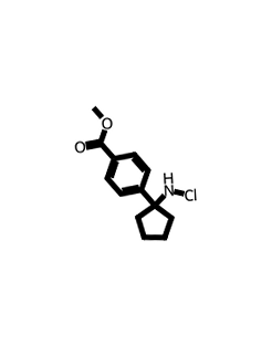 COC(=O)c1ccc(C2(NCl)CCCC2)cc1